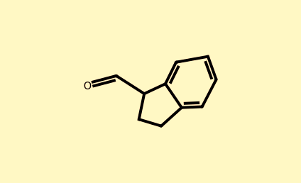 O=CC1CCc2ccccc21